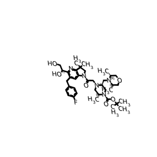 C[C@@H]1CN(CC(=O)N2CC(C)(C)c3nc([C@@H](O)CO)c(Cc4ccc(F)cc4)cc32)[C@@H](CN2[C@H](C)COC[C@H]2C)CN1C(=O)OC(C)(C)C